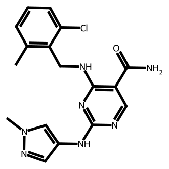 Cc1cccc(Cl)c1CNc1nc(Nc2cnn(C)c2)ncc1C(N)=O